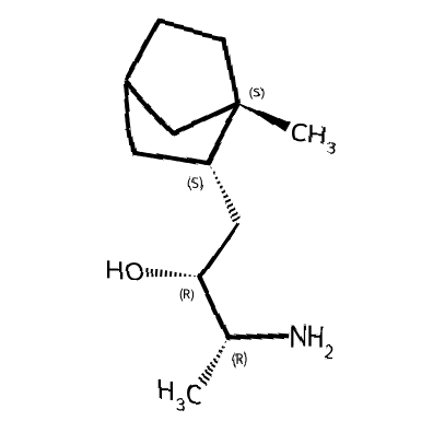 C[C@@H](N)[C@H](O)C[C@@H]1CC2CC[C@@]1(C)C2